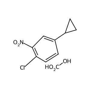 O=C(O)O.O=[N+]([O-])c1cc(C2CC2)ccc1Cl